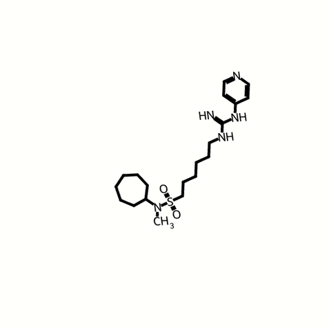 CN(C1CCCCCC1)S(=O)(=O)CCCCCCNC(=N)Nc1ccncc1